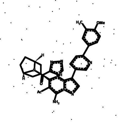 COc1ccc(-c2ccc(-c3cnn4c(N)c(C(C)=O)c([C@H]5C[C@H]6CC[C@@H](C5)N6C(=O)c5nnc[nH]5)nc34)cn2)cc1C